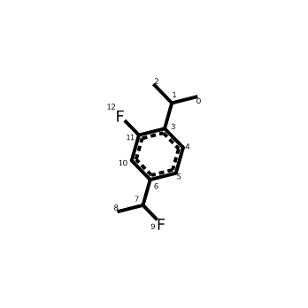 CC(C)c1ccc(C(C)F)cc1F